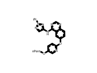 CCCCCOc1ccc(Oc2ccc3ncnc(Nc4cnn(C(C)C)n4)c3c2)nc1